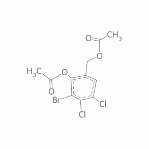 CC(=O)OCc1cc(Cl)c(Cl)c(Br)c1OC(C)=O